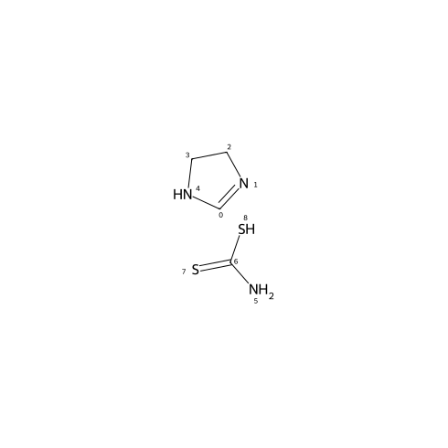 C1=NCCN1.NC(=S)S